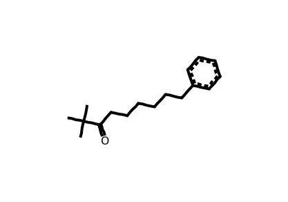 CC(C)(C)C(=O)CCCCCCc1ccccc1